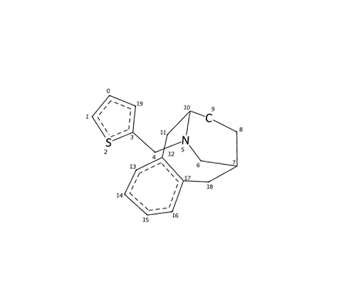 c1csc(CN2CC3CCC2Cc2ccccc2C3)c1